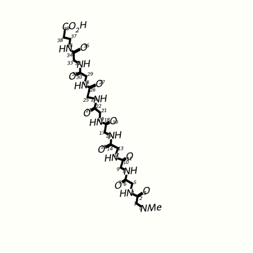 CNCC(=O)NCC(=O)NCC(=O)NCC(=O)NCC(=O)NCC(=O)NCC(=O)NCC(=O)NCC(=O)NCCC(=O)O